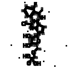 C[C@@H](Nc1nc(Cl)nc2c1ccn2[C@@H]1O[C@H](COCP(=O)(O)O)[C@@H](O)[C@H]1O)c1ccccc1F